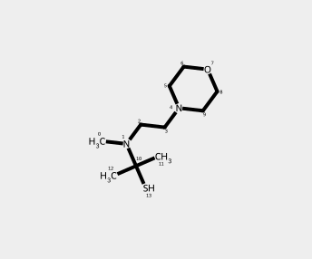 CN(CCN1CCOCC1)C(C)(C)S